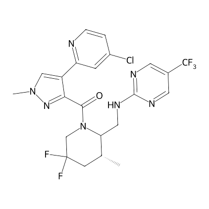 C[C@@H]1CC(F)(F)CN(C(=O)c2nn(C)cc2-c2cc(Cl)ccn2)C1CNc1ncc(C(F)(F)F)cn1